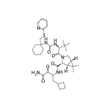 CC(C)(C)[C@H](NC(=O)NC1(CSc2ccccn2)CCCCC1)C(=O)N1C[C@H]2[C@@H]([C@H]1C(=O)NC(CC1CCC1)C(=O)C(N)=O)C2(C)C